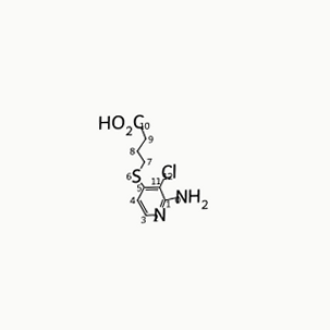 Nc1nccc(SCCCC(=O)O)c1Cl